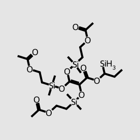 CCC([SiH3])OC(=O)C(O[Si](C)(C)CCOC(C)=O)=C(O[Si](C)(C)CCOC(C)=O)O[Si](C)(C)CCOC(C)=O